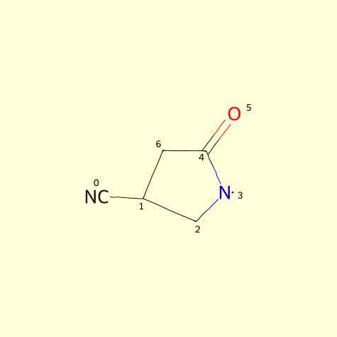 N#CC1C[N]C(=O)C1